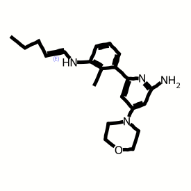 CCC/C=C/Nc1cccc(-c2cc(N3CCOCC3)cc(N)n2)c1C